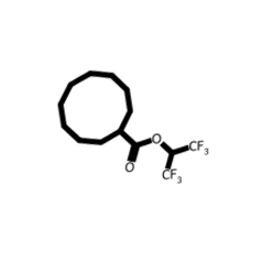 O=C(OC(C(F)(F)F)C(F)(F)F)C1CCCCCCCCC1